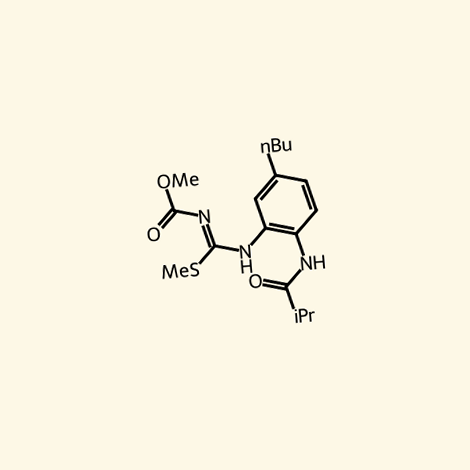 CCCCc1ccc(NC(=O)C(C)C)c(NC(=NC(=O)OC)SC)c1